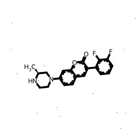 C[C@H]1CN(c2ccc3cc(-c4cccc(F)c4F)c(=O)oc3c2)CCN1